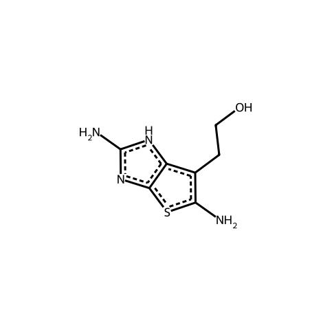 Nc1nc2sc(N)c(CCO)c2[nH]1